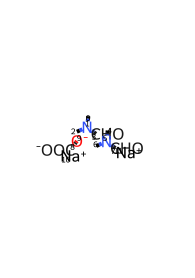 CN(C)C=O.CN(C)C=O.O=C([O-])[O-].[Na+].[Na+]